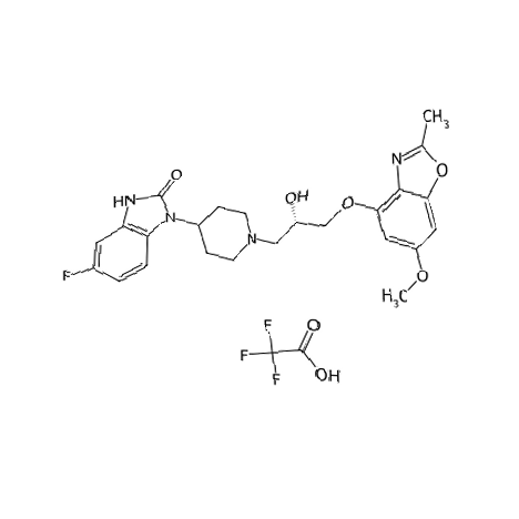 COc1cc(OC[C@@H](O)CN2CCC(n3c(=O)[nH]c4cc(F)ccc43)CC2)c2nc(C)oc2c1.O=C(O)C(F)(F)F